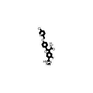 NC(=O)c1c(-c2ccc(OCc3ccc(Cl)cn3)cc2)oc2cc(-c3nnn[nH]3)c(F)cc12